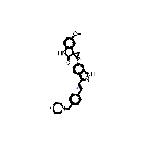 COc1ccc2c(c1)[C@@]1(C[C@@H]1c1ccc3c(/C=C/c4ccc(CN5CCOCC5)cc4)n[nH]c3c1)C(=O)N2